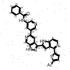 CC(=O)c1ccc(-c2nccc3[nH]c(-c4n[nH]c5cnc(-c6cncc(NC(=O)c7ccccc7)c6)cc45)cc23)s1